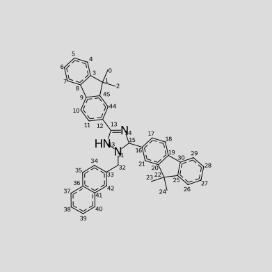 CC1(C)c2ccccc2-c2ccc(C3=NC(c4ccc5c(c4)C(C)(C)c4ccccc4-5)N(Cc4ccc5ccccc5c4)N3)cc21